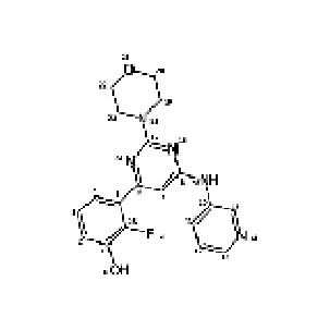 Oc1cccc(-c2cc(Nc3cccnc3)nc(N3CCOCC3)n2)c1F